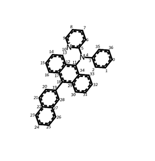 c1ccc(N(c2ccccn2)c2c3ccccc3c(-c3ccc4ccccc4c3)c3ccccc23)cc1